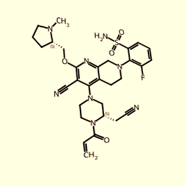 C=CC(=O)N1CCN(c2c(C#N)c(OC[C@@H]3CCCN3C)nc3c2CCN(c2c(F)cccc2S(N)(=O)=O)C3)C[C@@H]1CC#N